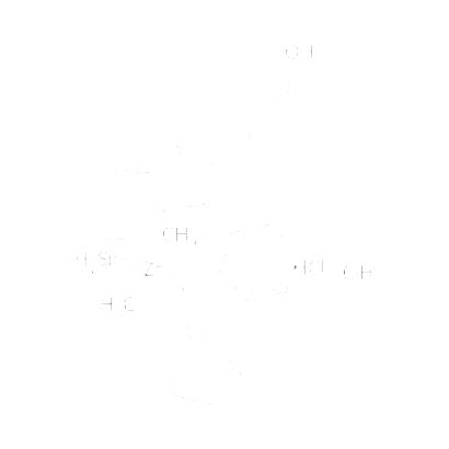 Cl.Cl.[CH3][Zr]([CH3])(=[SiH2])[CH]1c2ccccc2-c2cccc(C3C(CCCO)=Cc4ccccc43)c21